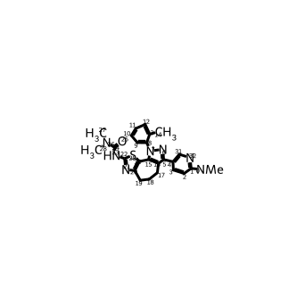 CNc1ccc(-c2nn(-c3ccccc3C)c3c2CCCc2nc(NC(=O)N(C)C)sc2-3)cn1